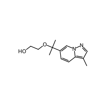 Cc1cnn2cc(C(C)(C)OCCO)ccc12